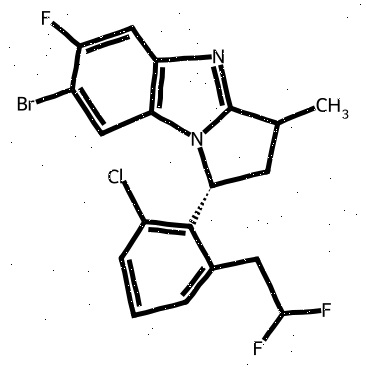 CC1C[C@H](c2c(Cl)cccc2CC(F)F)n2c1nc1cc(F)c(Br)cc12